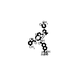 Cc1ccc2onc(C(=O)N3CC[C@H]4CC[C@@H](C(=O)N5C[C@H](c6ccn(C)c(=O)c6)CC56CC6)N4C(=O)[C@@H](NC(=O)c4ccc5ccc([C@@H](F)P(=O)(O)O)cc5c4)C3)c2c1